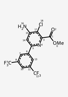 COC(=O)c1nc(-c2cc(C(F)(F)F)cc(C(F)(F)F)c2)cc(N)c1Cl